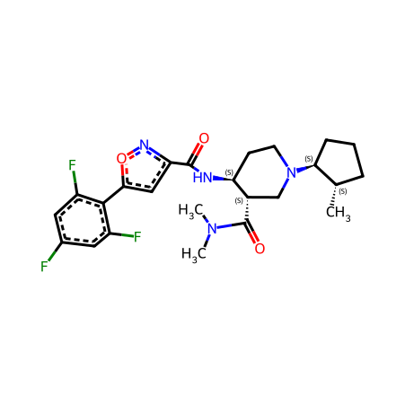 C[C@H]1CCC[C@@H]1N1CC[C@H](NC(=O)c2cc(-c3c(F)cc(F)cc3F)on2)[C@@H](C(=O)N(C)C)C1